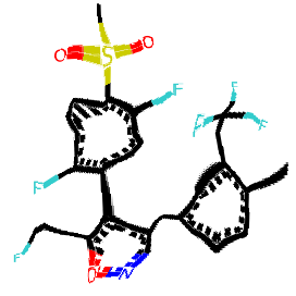 Cc1ccc(-c2noc(CF)c2-c2cc(F)c(S(C)(=O)=O)cc2F)cc1C(F)(F)F